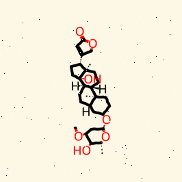 CO[C@H]1C[C@H](O[C@H]2CC[C@@]3(C)[C@H](CC[C@@H]4[C@@H]3CC[C@]3(C)[C@@H](C5=CC(=O)OC5)CC[C@]43O)C2)O[C@H](C)[C@H]1O